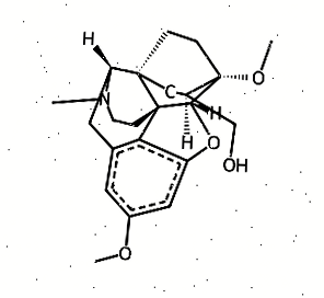 COc1cc2c3c(c1)O[C@H]1[C@]4(OC)CC[C@@]5(C[C@@H]4CO)[C@@H](C2)N(C)CC[C@]315